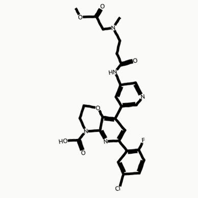 COC(=O)CN(C)CCC(=O)Nc1cncc(-c2cc(-c3cc(Cl)ccc3F)nc3c2OCCN3C(=O)O)c1